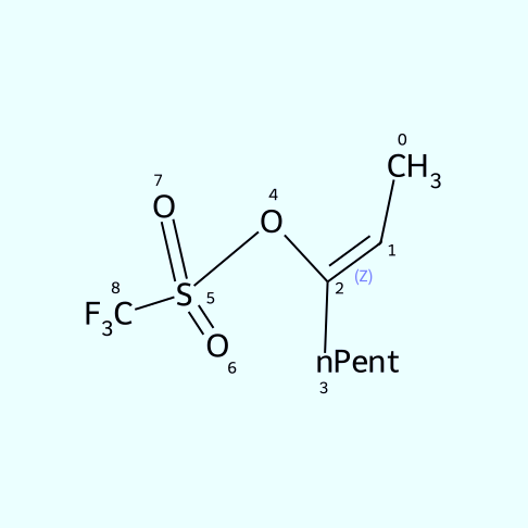 C/C=C(/CCCCC)OS(=O)(=O)C(F)(F)F